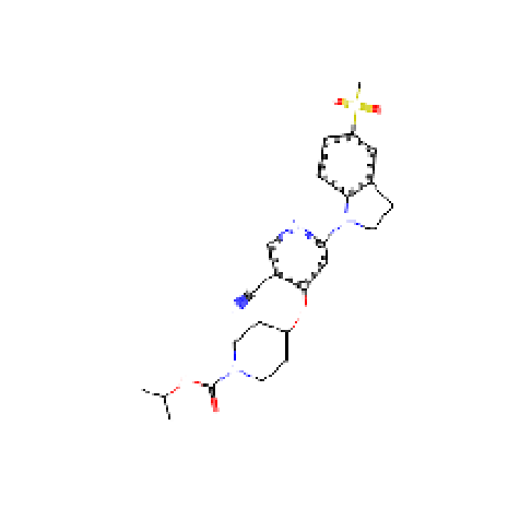 CC(C)OC(=O)N1CCC(Oc2cc(N3CCc4cc(S(C)(=O)=O)ccc43)ncc2C#N)CC1